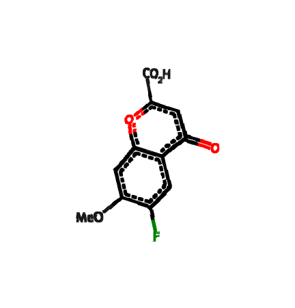 COc1cc2oc(C(=O)O)cc(=O)c2cc1F